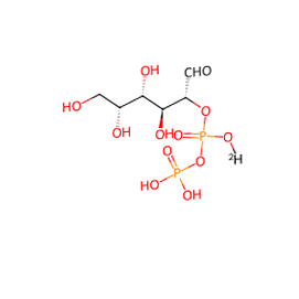 [2H]OP(=O)(O[C@@H](C=O)[C@@H](O)[C@@H](O)[C@H](O)CO)OP(=O)(O)O